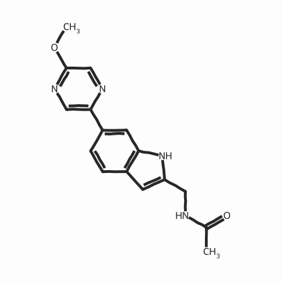 COc1cnc(-c2ccc3cc(CNC(C)=O)[nH]c3c2)cn1